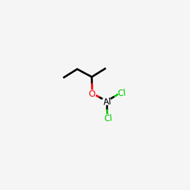 CCC(C)[O][Al]([Cl])[Cl]